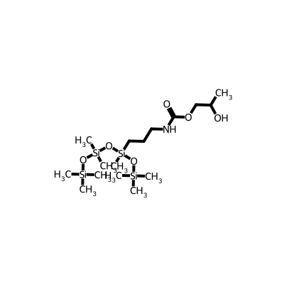 CC(O)COC(=O)NCCC[Si](C)(O[Si](C)(C)C)O[Si](C)(C)O[Si](C)(C)C